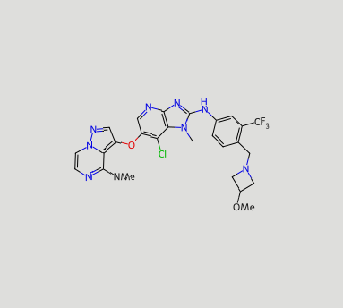 CNc1nccn2ncc(Oc3cnc4nc(Nc5ccc(CN6CC(OC)C6)c(C(F)(F)F)c5)n(C)c4c3Cl)c12